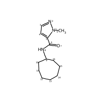 Cn1nccc1C(=O)NC1CCCCCCC1